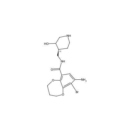 Nc1cc(C(=O)NC[C@@H]2CCNCC2O)c2c(c1Br)OCCCO2